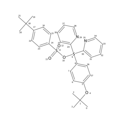 CC(C)(C)Oc1ccc(S(OS(=O)(=O)c2ccc(C(C)(C)C)cc2)(c2ccccn2)c2ccccn2)cc1